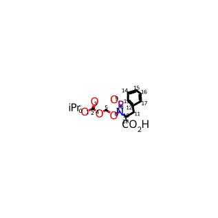 CC(C)OC(=O)OCON(P=O)[C@@H](Cc1ccccc1)C(=O)O